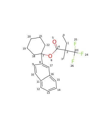 CCC(C)(C(=O)OC1(c2ccc3ccccc3c2)CCCCC1)C(F)(F)F